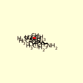 CC(C)[Si](O[SiH3])(O[Si](O[SiH2]CCCN)(C(C)C)C(C)C)C(C)C